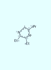 CCc1ncc(C(C)C)nc1CC